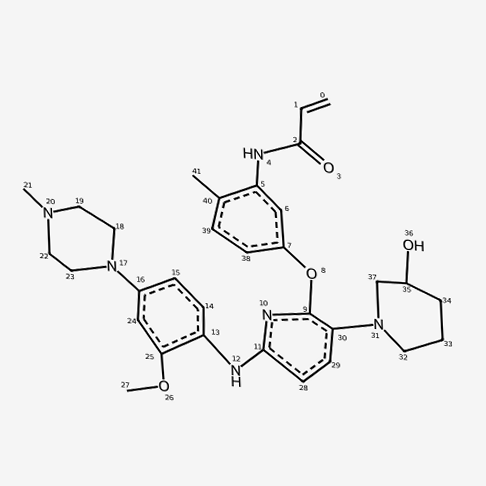 C=CC(=O)Nc1cc(Oc2nc(Nc3ccc(N4CCN(C)CC4)cc3OC)ccc2N2CCCC(O)C2)ccc1C